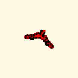 CCCCCCCCC1(CCCCCCCC)c2cc3c(cc2-c2cc4c(cc21)-c1c(cc(-c2cccc5c(-c6ccc7c(c6)oc6cc(-c8ccc9c(c8)C(C)(C)c8ccccc8-9)ccc67)cccc25)c2ccccc12)C4(C)C)C(C)(C)c1cc(-c2cccc4c(-c5ccc6c(c5)oc5cc(-c7ccc8c(c7)C(C)(C)c7ccccc7-8)ccc56)cccc24)c2ccccc2c1-3